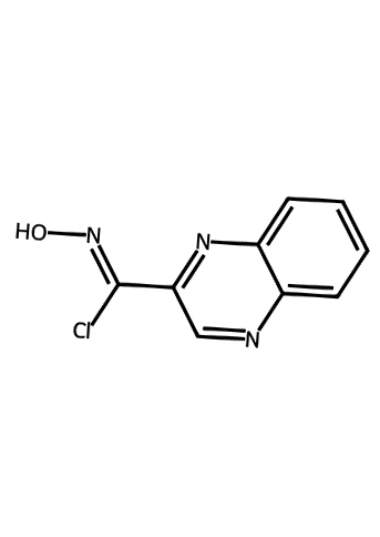 ON=C(Cl)c1cnc2ccccc2n1